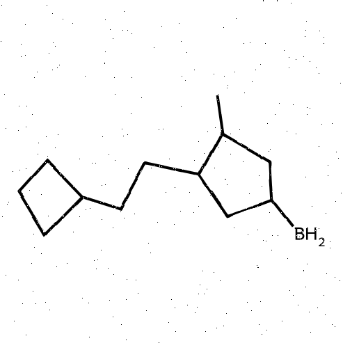 BC1CC(C)C(CCC2CCC2)C1